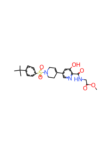 COC(=O)CNC(=O)c1ncc(C2=CCN(S(=O)(=O)c3ccc(C(C)(C)C)cc3)CC2)cc1O